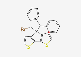 BrCC1(C(c2ccccc2)c2ccccc2)c2ccsc2-c2sccc21